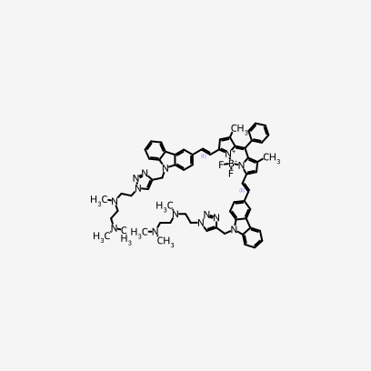 CC1=CC(/C=C/c2ccc3c(c2)c2ccccc2n3Cc2cn(CCN(C)CCN(C)C)nn2)=[N+]2C1=C(c1ccccc1)c1c(C)cc(/C=C/c3ccc4c(c3)c3ccccc3n4Cc3cn(CCN(C)CCN(C)C)nn3)n1[B-]2(F)F